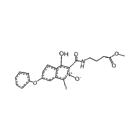 COC(=O)CCCNC(=O)c1c(O)c2ccc(Oc3ccccc3)cc2c(I)[n+]1[O-]